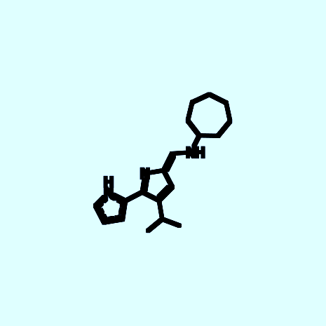 CC(C)C1=C/C(=C\NC2CCCCCC2)N=C1c1ccc[nH]1